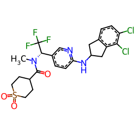 CN(C(=O)C1CCS(=O)(=O)CC1)[C@@H](c1ccc(NC2Cc3ccc(Cl)c(Cl)c3C2)nc1)C(F)(F)F